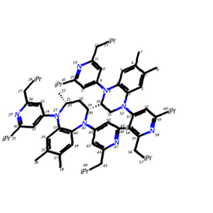 Cc1cc2c(cc1C)N(c1cc(CC(C)C)nc(C(C)C)c1)C([C@H]1C[C@@H](C)N(c3cc(CC(C)C)nc(C(C)C)c3)c3cc(C)c(C)cc3N1c1cc(CC(C)C)nc(C(C)C)c1)CN2c1cc(CC(C)C)nc(C(C)C)c1